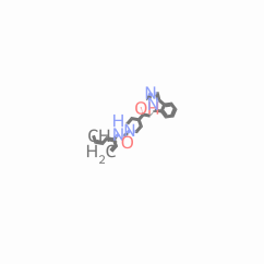 C=C/C(=C\C=C/C)NC(=O)N1CCC([C@H](O)C[C@H]2c3ccccc3-c3cncn32)CC1